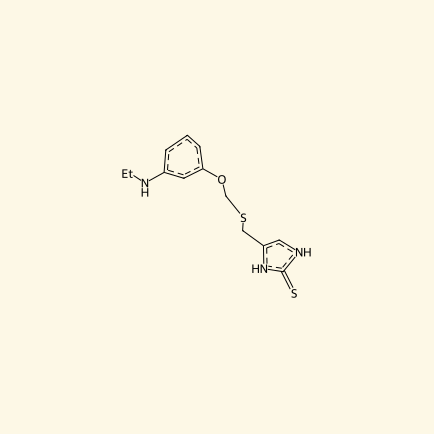 CCNc1cccc(OCSCc2c[nH]c(=S)[nH]2)c1